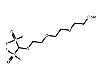 COCCOCCOCCOC(P(=O)(F)F)P(=O)(F)F